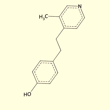 Cc1cnccc1CCc1ccc(O)cc1